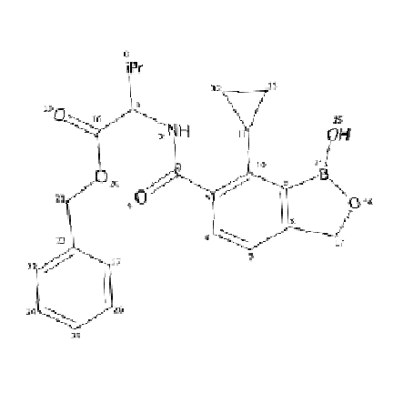 CC(C)C(NC(=O)c1ccc2c(c1C1CC1)B(O)OC2)C(=O)OCc1ccccc1